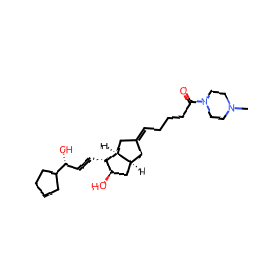 CN1CCN(C(=O)CCC/C=C2\C[C@H]3C[C@@H](O)[C@H](/C=C/[C@@H](O)C4CCCC4)[C@H]3C2)CC1